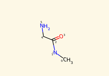 C[N]C(=O)CN